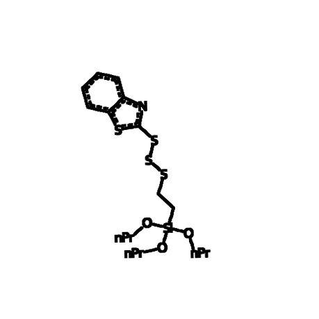 CCCO[Si](CCSSSc1nc2ccccc2s1)(OCCC)OCCC